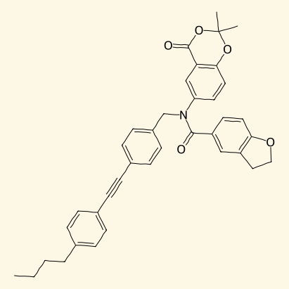 CCCCc1ccc(C#Cc2ccc(CN(C(=O)c3ccc4c(c3)CCO4)c3ccc4c(c3)C(=O)OC(C)(C)O4)cc2)cc1